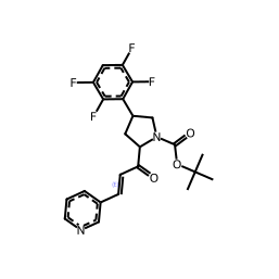 CC(C)(C)OC(=O)N1CC(c2c(F)c(F)cc(F)c2F)CC1C(=O)/C=C/c1cccnc1